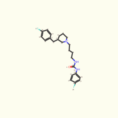 O=C(NCCCCN1CCCC(Cc2ccc(F)cc2)C1)Nc1ccc(F)cc1